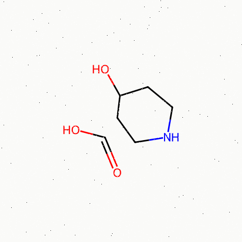 O=CO.OC1CCNCC1